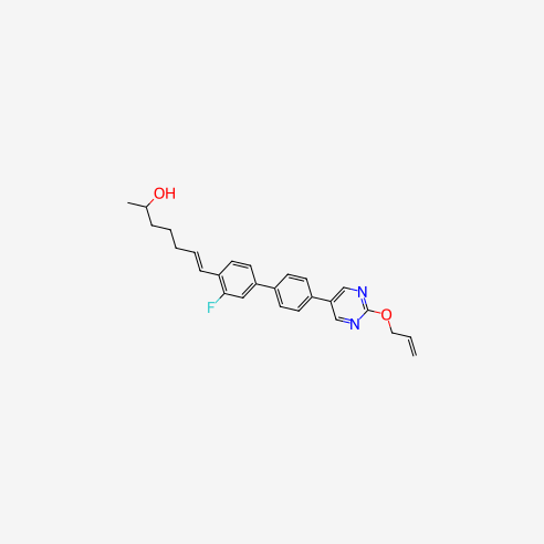 C=CCOc1ncc(-c2ccc(-c3ccc(C=CCCCC(C)O)c(F)c3)cc2)cn1